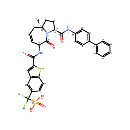 O=C(N[C@H]1C=CC[C@H]2CC[C@@H](C(=O)Nc3ccc(-c4ccccc4)cc3)N2C1=O)c1cc2cc(C(F)(F)P(=O)(O)O)ccc2s1